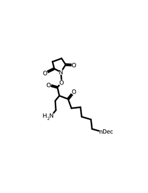 CCCCCCCCCCCCCCCC(=O)C(CCN)C(=O)ON1C(=O)CCC1=O